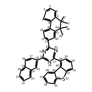 CC1(C)c2ccccc2-c2ccc(-c3nc(-c4ccc5ccccc5c4)nc(-c4cccc5sc6ccccc6c45)n3)cc2C1(C)C